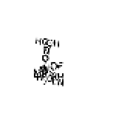 C[C@@H](C#N)NC(=O)[C@@H]1C[C@@H](F)CC[C@H]1c1nn(-c2ncccc2F)cc1-c1ccc(N2CCS(O)(O)CC2)cc1